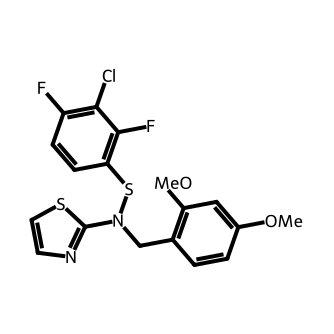 COc1ccc(CN(Sc2ccc(F)c(Cl)c2F)c2nccs2)c(OC)c1